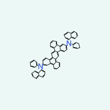 C1=CC(N(c2ccc3c(c2)c2ccccc2c2cc4c5ccc(N(c6ccccc6)c6cccc7ccccc67)cc5c5ccccc5c4cc32)c2cccc3ccccc23)=CCC1